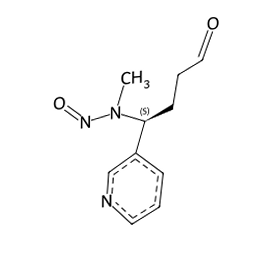 CN(N=O)[C@@H](CCC=O)c1cccnc1